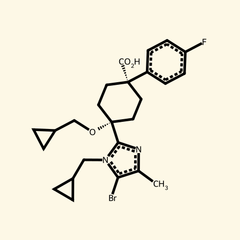 Cc1nc([C@]2(OCC3CC3)CC[C@](C(=O)O)(c3ccc(F)cc3)CC2)n(CC2CC2)c1Br